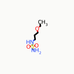 CCOCCCNS(N)(=O)=O